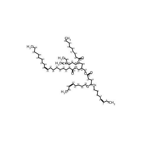 CC/C=C\CCCCOC(CCC(=O)OCC(COC(=O)CCCCCCC/C=C\CCCCCCCC)CN(CCCN(CC)CC)C(=O)CCCCCCCC)OCCCC/C=C\CC